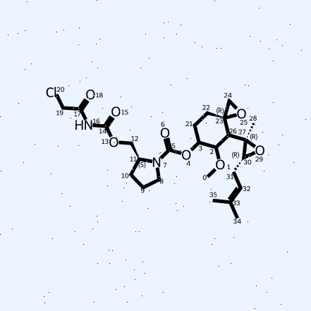 COC1C(OC(=O)N2CCC[C@H]2COC(=O)NC(=O)CCl)CC[C@]2(CO2)C1[C@@]1(C)O[C@@H]1CC=C(C)C